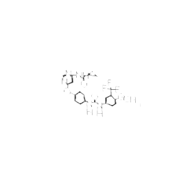 COc1ccc(NC(=O)Nc2ccc(Oc3cc(NC(=O)C4CC4)ncn3)cc2)cc1C(F)(F)F